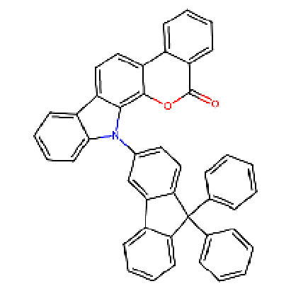 O=c1oc2c(ccc3c4ccccc4n(-c4ccc5c(c4)-c4ccccc4C5(c4ccccc4)c4ccccc4)c32)c2ccccc12